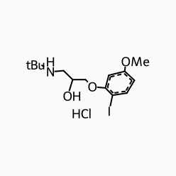 COc1ccc(I)c(OCC(O)CNC(C)(C)C)c1.Cl